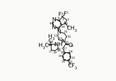 C[C@@H]1CC(F)(F)c2ncnc(N3CCN(C(=O)C(c4ccc(C(F)(F)F)cc4)[C@@H]4CCC(C)(C)N4)CC3)c21